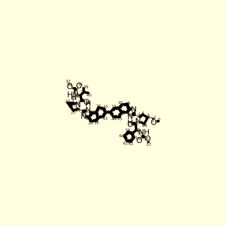 COC[C@H]1C[C@@H](c2nc3ccc4cc(-c5ccc6c(ccc7nc([C@@H]8CC9C[C@H]9N8C(=O)[C@@H](NC(=O)OC)C(C)C)[nH]c76)c5)ccc4c3[nH]2)N(C(=O)[C@H](NC(=O)OC)c2ccccc2)C1